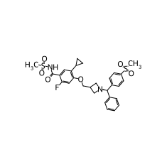 CS(=O)(=O)NC(=O)c1cc(C2CC2)c(OCC2CN([C@H](c3ccccc3)c3ccc(S(C)(=O)=O)cc3)C2)cc1F